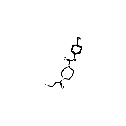 CC(C)CCC(=O)N1CCCN(C(=O)Nc2ccc(C(C)C)cc2)CC1